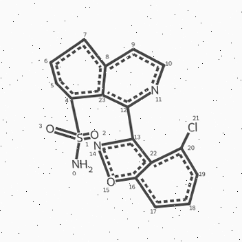 NS(=O)(=O)c1cccc2ccnc(-c3noc4cccc(Cl)c34)c12